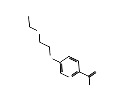 CCOCCOc1ccc(C(=O)O)nc1